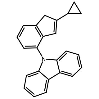 C1=C(C2CC2)Cc2cccc(-n3c4ccccc4c4ccccc43)c21